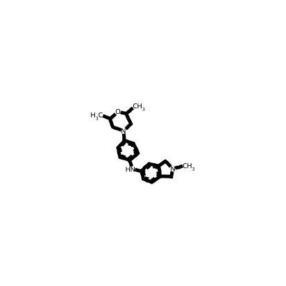 CC1CN(c2ccc(Nc3ccc4c(c3)CN(C)C4)cc2)CC(C)O1